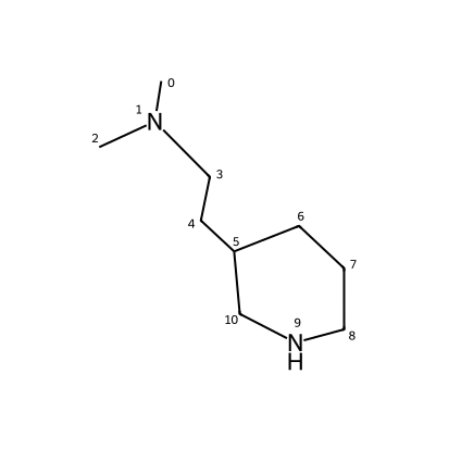 CN(C)CCC1CCCNC1